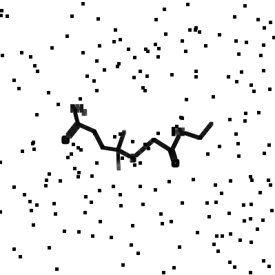 CCNC(=O)CSC(C)(C)CCC(N)=O